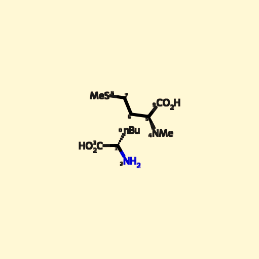 CCCC[C@H](N)C(=O)O.CN[C@@H](CCSC)C(=O)O